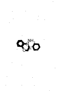 NN1c2ccccc2O[CH][C@H]1C1CCCCC1